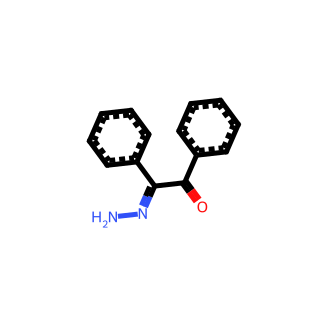 N/N=C(/C(=O)c1ccccc1)c1ccccc1